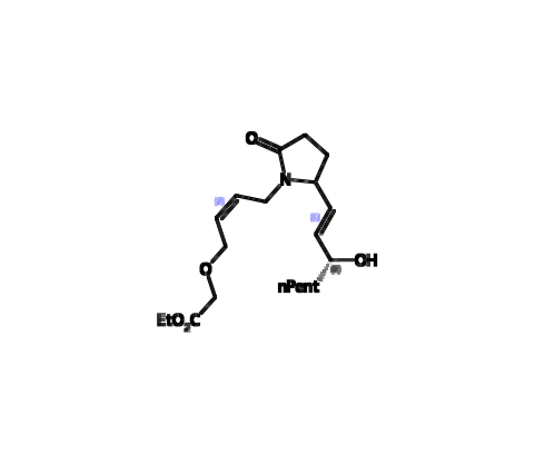 CCCCC[C@@H](O)/C=C/C1CCC(=O)N1C/C=C\COCC(=O)OCC